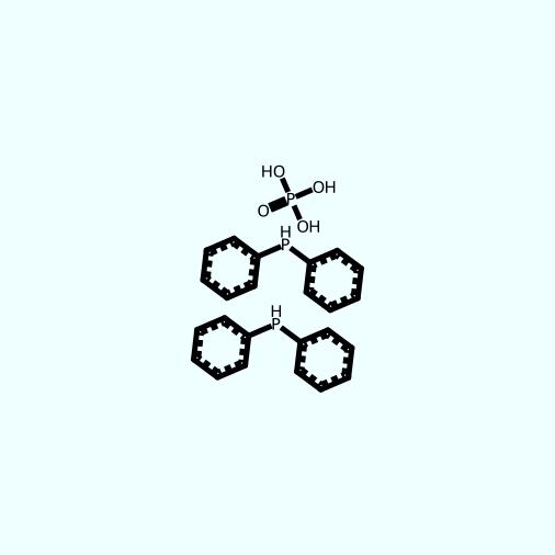 O=P(O)(O)O.c1ccc(Pc2ccccc2)cc1.c1ccc(Pc2ccccc2)cc1